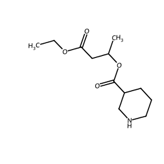 CCOC(=O)CC(C)OC(=O)C1CCCNC1